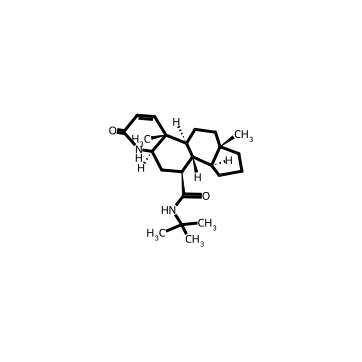 CC(C)(C)NC(=O)[C@H]1C[C@H]2NC(=O)C=C[C@]2(C)[C@H]2CC[C@]3(C)CCC[C@H]3[C@H]12